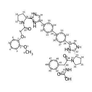 COc1ccccc1OCC(=O)N1CCC[C@H]1c1ncc(-c2ccc(-c3ccc(-c4cnc([C@@H]5CCCN5C(=O)[C@H](NC(=O)O)c5ccccc5)[nH]4)cc3)cc2)[nH]1